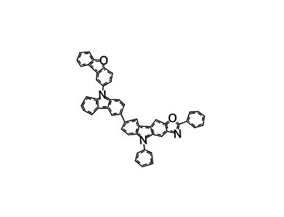 c1ccc(-c2nc3cc4c(cc3o2)c2cc(-c3ccc5c(c3)c3ccccc3n5-c3ccc5oc6ccccc6c5c3)ccc2n4-c2ccccc2)cc1